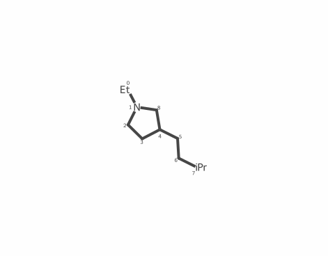 CCN1CCC(CCC(C)C)C1